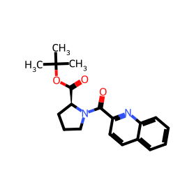 CC(C)(C)OC(=O)[C@@H]1CCCN1C(=O)c1ccc2ccccc2n1